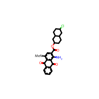 CNc1cc(C(=O)OC2CCC3CC(Cl)CCC3C2)c(N)c2c1C(=O)c1ccccc1C2=O